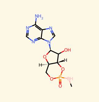 CBP1(=O)OC[C@H]2O[C@@H](n3cnc4c(N)ncnc43)C(O)[C@@H]2O1